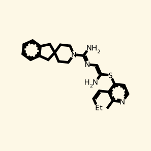 CC/C=C\c1c(S/C(N)=C/N=C(\N)N2CCC3(CC2)Cc2ccccc2C3)ccnc1C